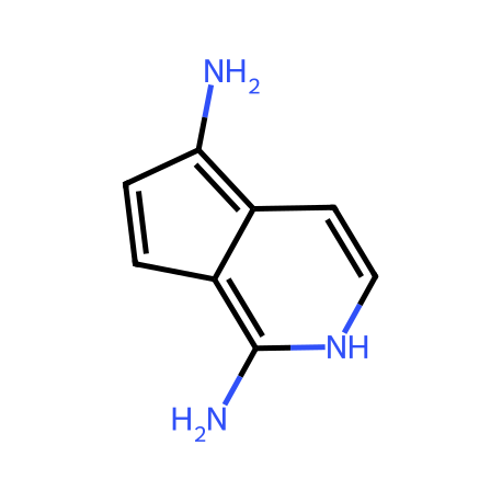 Nc1ccc2c(N)[nH]ccc1-2